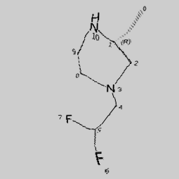 C[C@@H]1CN(CC(F)F)CCN1